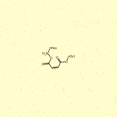 CCCCCCCCOC(=O)/C=C\C(=O)O[SiH2]CCCCCC